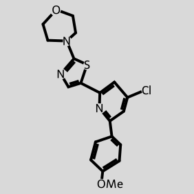 COc1ccc(-c2cc(Cl)cc(-c3cnc(N4CCOCC4)s3)n2)cc1